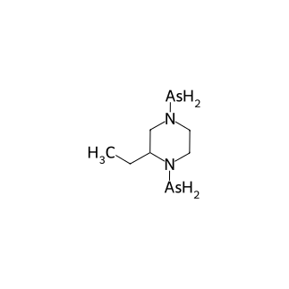 CCC1CN([AsH2])CCN1[AsH2]